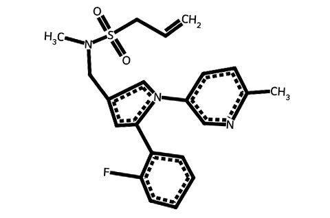 C=CCS(=O)(=O)N(C)Cc1cc(-c2ccccc2F)n(-c2ccc(C)nc2)c1